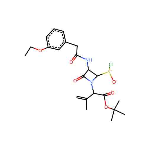 C=C(C)C(C(=O)OC(C)(C)C)N1C(=O)C(NC(=O)Cc2cccc(OCC)c2)C1[S+]([O-])Cl